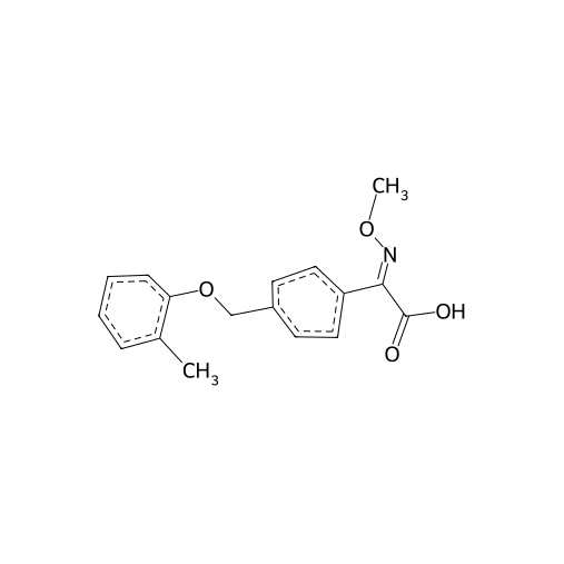 CO/N=C(/C(=O)O)c1ccc(COc2ccccc2C)cc1